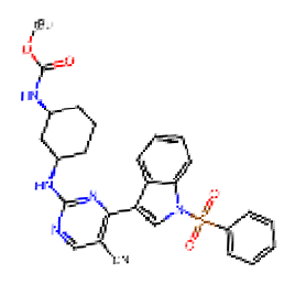 CC(C)(C)OC(=O)N[C@H]1CCC[C@@H](Nc2ncc(C#N)c(-c3cn(S(=O)(=O)c4ccccc4)c4ccccc34)n2)C1